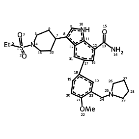 CCS(=O)(=O)N1CCC(c2c[nH]c3c(C(N)=O)cc(-c4ccc(OC)c(CN5CCCC5)c4)cc23)CC1